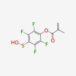 C=C(C)C(=O)Oc1c(F)c(F)c(SO)c(F)c1F